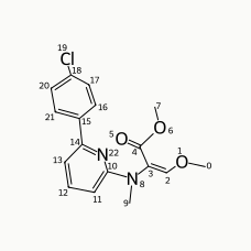 COC=C(C(=O)OC)N(C)c1cccc(-c2ccc(Cl)cc2)n1